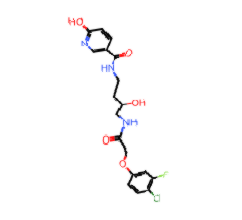 O=C(COc1ccc(Cl)c(F)c1)NCC(O)CCNC(=O)c1ccc(O)nc1